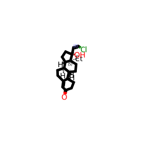 CC[C@]12CC[C@H]3[C@@H](CCC4=CC(=O)CC[C@@H]43)[C@@H]1CC[C@@]2(O)/C=C\Cl